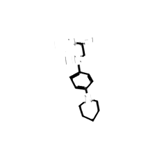 CC[C@H](N)CNc1ccc(N2CCCCC2)cc1